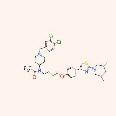 CC1CC(C)CN(c2nc(-c3ccc(OCCCCN(C(=O)C(F)(F)F)C4CCN(Cc5ccc(Cl)c(Cl)c5)CC4)cc3)cs2)C1